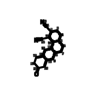 N#Cc1ccc2ccc3cc4c(cc3c2c1C#N)=CCC(=O)C=4